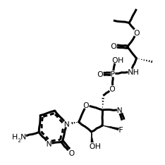 C=N[C@]1(COP(=O)(O)N[C@@H](C)C(=O)OC(C)C)O[C@@H](n2ccc(N)nc2=O)[C@H](O)[C@@H]1F